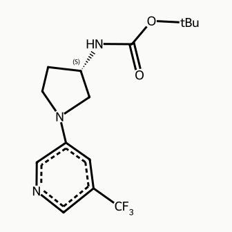 CC(C)(C)OC(=O)N[C@H]1CCN(c2cncc(C(F)(F)F)c2)C1